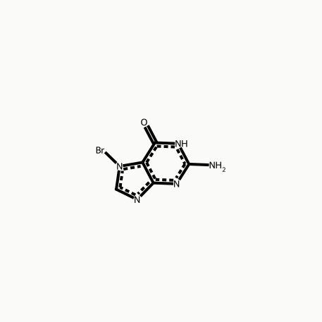 Nc1nc2ncn(Br)c2c(=O)[nH]1